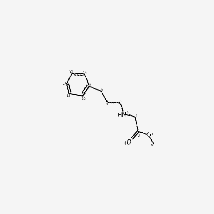 COC(=O)CNCCCc1ccccc1